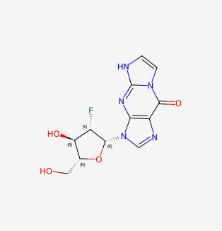 O=c1c2ncn([C@@H]3O[C@H](CO)[C@@H](O)[C@@H]3F)c2nc2[nH]ccn12